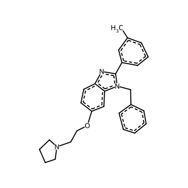 Cc1cccc(-c2nc3ccc(OCCN4CCCC4)cc3n2Cc2ccccc2)c1